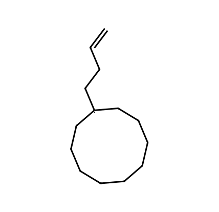 C=CCC[C]1CCCCCCCCC1